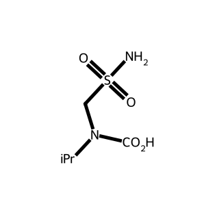 CC(C)N(CS(N)(=O)=O)C(=O)O